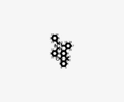 CC1(C)c2ccccc2C(=O)c2ccc(-c3ccccc3-c3nc(-c4ccccc4)nc(-c4ccccc4)n3)cc21